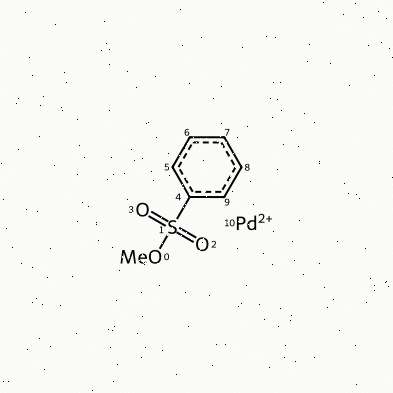 COS(=O)(=O)c1ccccc1.[Pd+2]